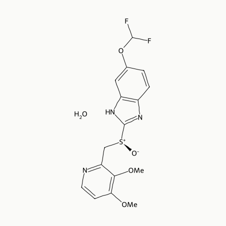 COc1ccnc(C[S@+]([O-])c2nc3ccc(OC(F)F)cc3[nH]2)c1OC.O